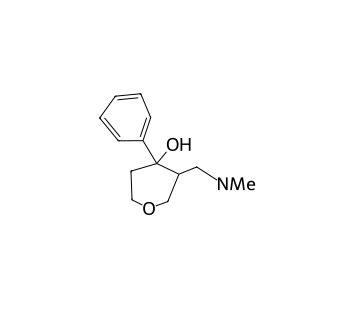 CNCC1COCCC1(O)c1ccccc1